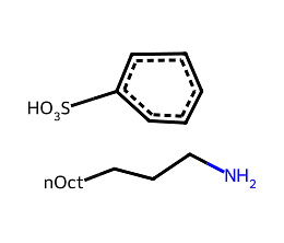 CCCCCCCCCCCN.O=S(=O)(O)c1ccccc1